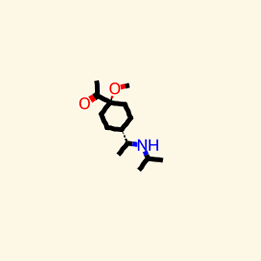 CO[C@]1(C(C)=O)CC[C@H](C(C)NC(C)C)CC1